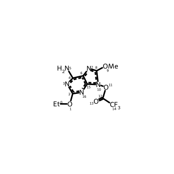 CCOc1nc(N)c2nc(OC)n(OC(=O)C(F)(F)F)c2n1